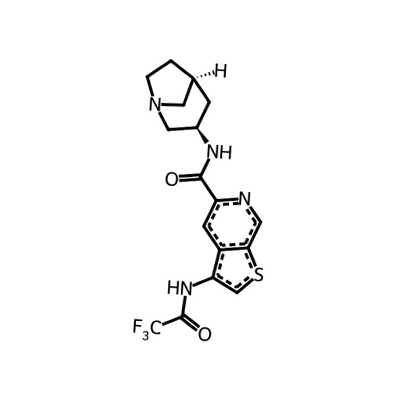 O=C(N[C@@H]1C[C@@H]2CCN(C2)C1)c1cc2c(NC(=O)C(F)(F)F)csc2cn1